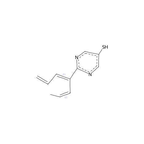 C=C/C=C(\C=C/C)c1ncc(S)cn1